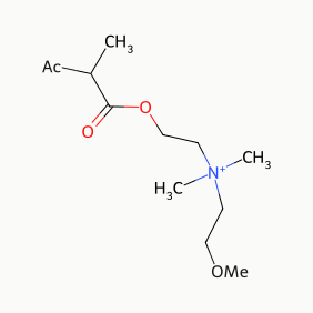 COCC[N+](C)(C)CCOC(=O)C(C)C(C)=O